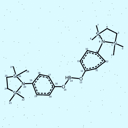 C[Si]1(C)CC[Si](C)(C)N1c1ccc(OBOc2ccc(N3[Si](C)(C)CC[Si]3(C)C)cc2)cc1